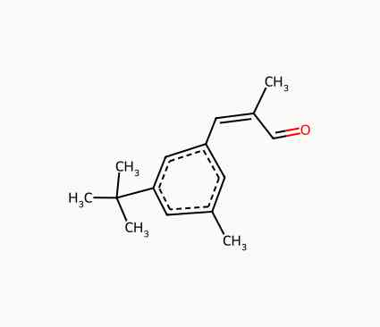 CC(C=O)=Cc1cc(C)cc(C(C)(C)C)c1